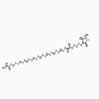 CCNC(=O)COCCOCCOCCOCCOCCOCCOCCOCCNC(=O)CCCCCN1C(=O)CC(C(C)C)C1=O